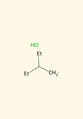 Cl.[CH2]C(CC)CC